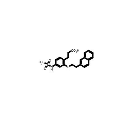 CS(=O)(=O)Nc1ccc(CCC(=O)O)c(OCCc2ccc3ccccc3c2)c1